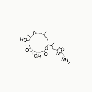 C/C1=C/C[C@@H](/C(C)=C/c2coc(CN)n2)OC(=O)C[C@H](O)C(C)(C)C(=O)[C@H](C)[C@@H](O)[C@@H](C)C2CC2C1